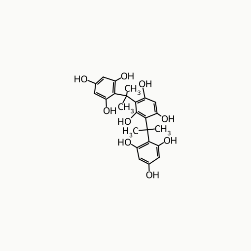 CC(C)(c1c(O)cc(O)cc1O)c1c(O)cc(O)c(C(C)(C)c2c(O)cc(O)cc2O)c1O